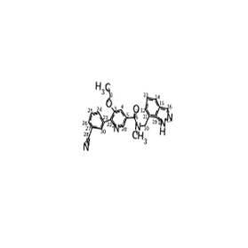 CCOc1cc(C(=O)N(C)Cc2cccc3cn[nH]c23)cnc1-c1cccc(C#N)c1